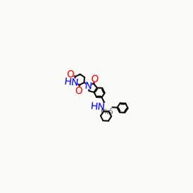 O=C1CCC(N2Cc3cc(CN[C@@H]4CCCC[C@H]4Cc4ccccc4)ccc3C2=O)C(=O)N1